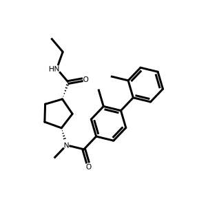 CCNC(=O)[C@H]1CC[C@@H](N(C)C(=O)c2ccc(-c3ccccc3C)c(C)c2)C1